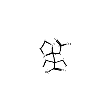 CCC(CC)(C(=O)O)C1(CC(=O)O)SCCS1